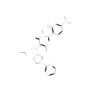 CCO[C@H]1CN(c2ccccn2)C[C@H]1Nc1c(C)nc(-c2ccc(N(C)C)cc2Cl)n(C)c1=O